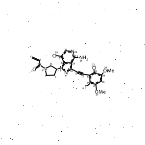 C=CC(=O)N1CC[C@H](n2nc(C#Cc3c(F)c(OC)cc(OC)c3Cl)c3c(N)ncc(Cl)c32)C1